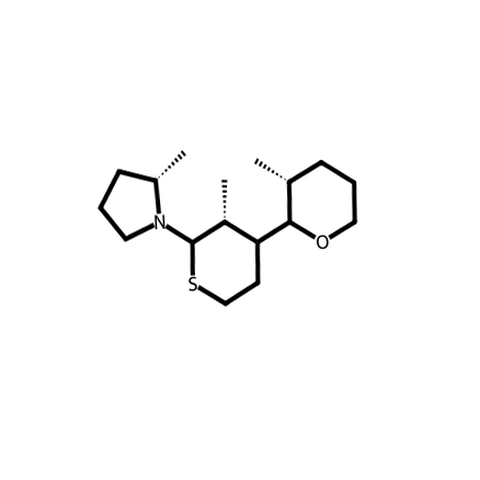 C[C@@H]1C(C2OCCC[C@H]2C)CCSC1N1CCC[C@@H]1C